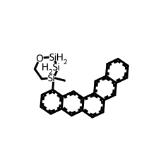 C[Si]1(c2cccc3cc4ccc5cc6ccccc6cc5c4cc23)CCO[SiH2][SiH2]1